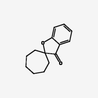 O=C1c2ccccc2OC12CCCCCC2